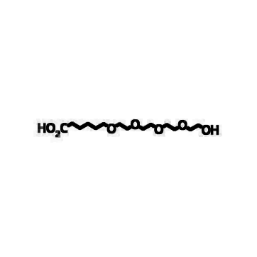 O=C(O)CCCCCOCCOCCOCCOCCO